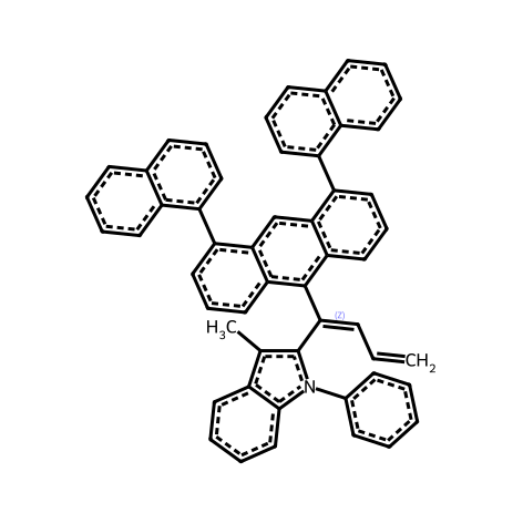 C=C/C=C(/c1c2cccc(-c3cccc4ccccc34)c2cc2c(-c3cccc4ccccc34)cccc12)c1c(C)c2ccccc2n1-c1ccccc1